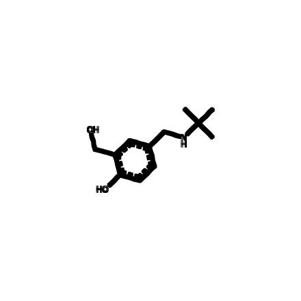 CC(C)(C)NCc1ccc(O)c(CO)c1